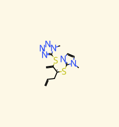 C=CC[C](Sc1nccn1C)C(=C)Sc1nnnn1C